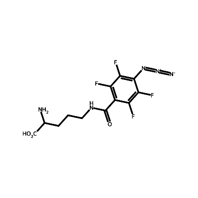 [N-]=[N+]=Nc1c(F)c(F)c(C(=O)NCCCC(N)C(=O)O)c(F)c1F